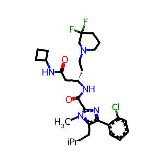 CC(C)Cc1c(-c2ccccc2Cl)nc(C(=O)N[C@@H](CCN2CCCC(F)(F)C2)CC(=O)NC2CCC2)n1C